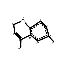 CC1=CCOc2ccc(C)cc21